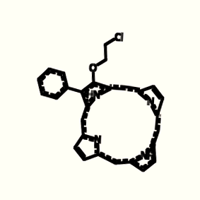 ClCCOc1c(-c2ccccc2)c2cc3nc(cc4ccc(cc5nc(cc1[nH]2)C=C5)[nH]4)C=C3